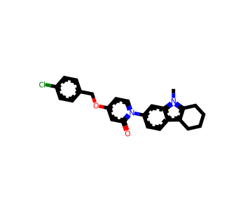 Cn1c2c(c3ccc(-n4ccc(OCc5ccc(Cl)cc5)cc4=O)cc31)CCCC2